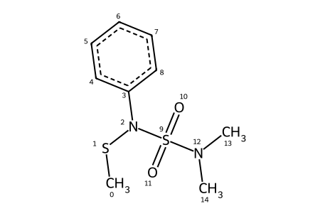 CSN(c1ccccc1)S(=O)(=O)N(C)C